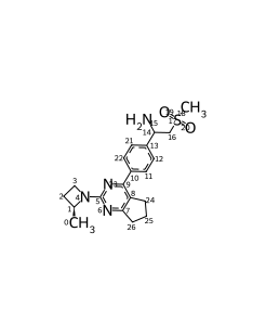 C[C@H]1CCN1c1nc2c(c(-c3ccc(C(N)CS(C)(=O)=O)cc3)n1)CCC2